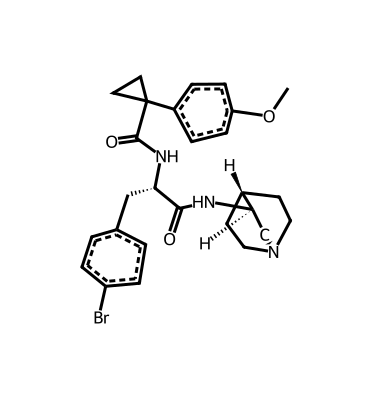 COc1ccc(C2(C(=O)N[C@@H](Cc3ccc(Br)cc3)C(=O)N[C@@H]3C[N@]4CC[C@H]3CC4)CC2)cc1